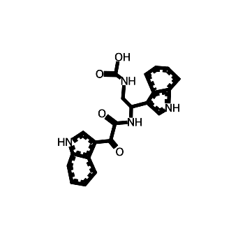 O=C(O)NCC(NC(=O)C(=O)c1c[nH]c2ccccc12)c1c[nH]c2ccccc12